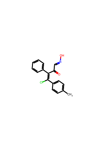 Cc1ccc(C(Cl)=C(C(=O)C=NO)c2ccccc2)cc1